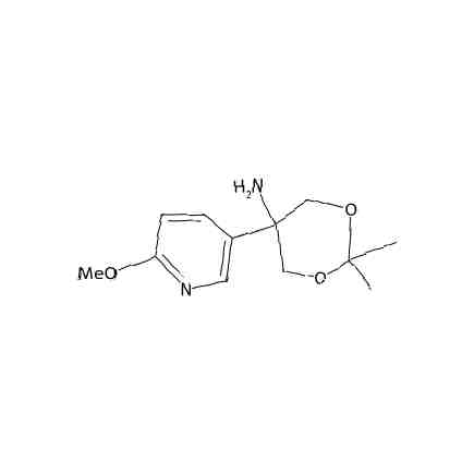 COc1ccc(C2(N)COC(C)(C)OC2)cn1